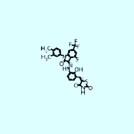 Cc1ccc(N2C(=O)/C(=N\Nc3cccc(/C=C4/SC(=O)NC4=O)c3O)c3c(F)cc(C(F)(F)F)cc32)cc1C